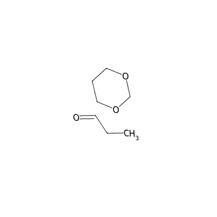 C1COCOC1.CCC=O